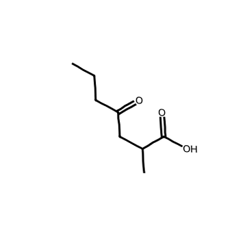 CCCC(=O)CC(C)C(=O)O